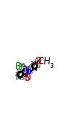 COc1ccc(Cn2nc(Br)c3ccccc3c2=O)cc1